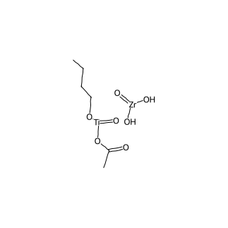 CCCC[O][Ti](=[O])[O]C(C)=O.[O]=[Zr]([OH])[OH]